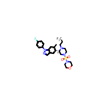 Cc1cc2c(cnn2-c2ccc(F)cc2)cc1[C@H]1CN(S(=O)(=O)N2CCOCC2)CCN1CCC(F)(F)F